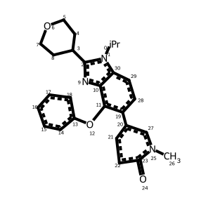 CC(C)n1c(C2CCOCC2)nc2c(Oc3ccccc3)c(-c3ccc(=O)n(C)c3)ccc21